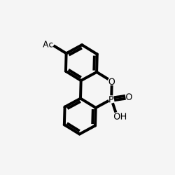 CC(=O)c1ccc2c(c1)-c1ccccc1P(=O)(O)O2